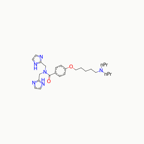 CCCN(CCC)CCCCCOc1ccc(C(=O)N(Cc2ncc[nH]2)Cc2ncc[nH]2)cc1